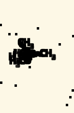 CCCCOC1COC(C)[C@@](C)(O)C1OCCCC